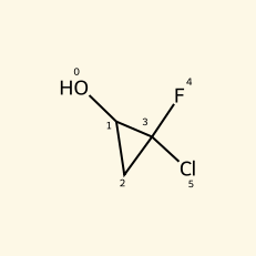 OC1CC1(F)Cl